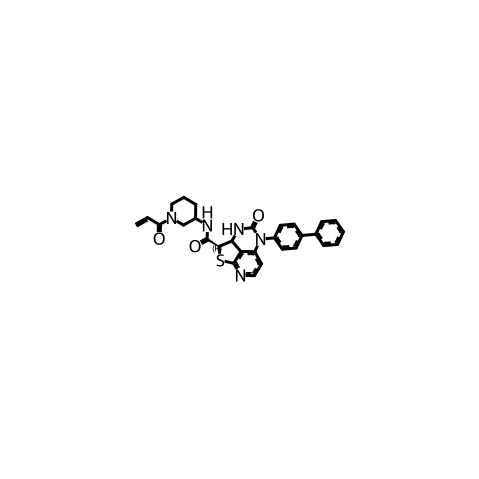 C=CC(=O)N1CCCC(NC(=O)[C@@H]2Sc3nccc4c3C2NC(=O)N4c2ccc(-c3ccccc3)cc2)C1